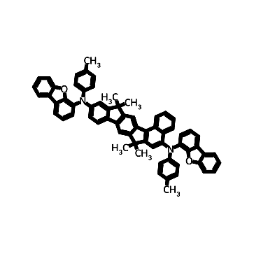 Cc1ccc(N(c2ccc3c(c2)C(C)(C)c2cc4c(cc2-3)C(C)(C)c2cc(N(c3ccc(C)cc3)c3cccc5c3oc3ccccc35)c3ccccc3c2-4)c2cccc3c2oc2ccccc23)cc1